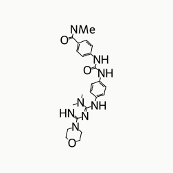 CNC(=O)c1ccc(NC(=O)Nc2ccc(N/C(=N/C(=N)N3CCOCC3)N(C)C)cc2)cc1